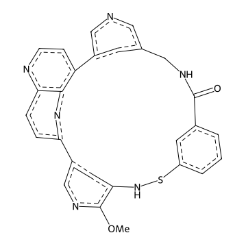 COc1ncc2cc1NSc1cccc(c1)C(=O)NCc1cncc(c1)-c1ccnc3ccc-2nc13